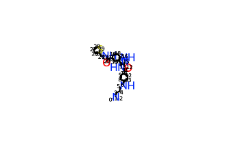 CN(C)CCCNc1ccc(C(=O)Nc2n[nH]c3ccc(C(=O)NCc4cccs4)cc23)cc1